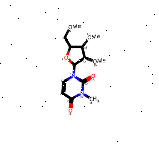 COCC1OC(n2ccc(=O)n(C)c2=O)C(OC)C1OC